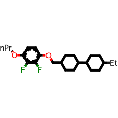 CCCOc1ccc(OCC2CCC(C3CCC(CC)CC3)CC2)c(F)c1F